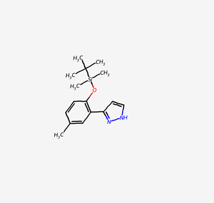 Cc1ccc(O[Si](C)(C)C(C)(C)C)c(-c2cc[nH]n2)c1